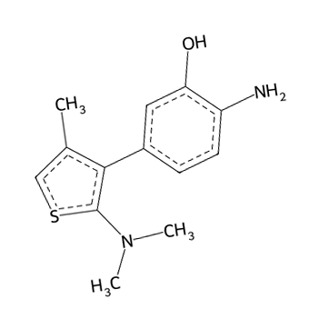 Cc1csc(N(C)C)c1-c1ccc(N)c(O)c1